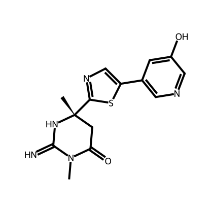 CN1C(=N)N[C@](C)(c2ncc(-c3cncc(O)c3)s2)CC1=O